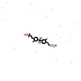 CCC(CC)(c1ccc(/C=C/C(C)(C)O)c(C)c1)c1ccc(CCC(=O)O)c(C)c1